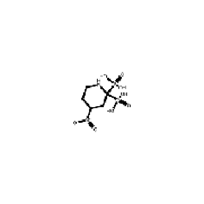 O=[N+]([O-])C1CCNC(P(=O)(O)O)(P(=O)(O)O)C1